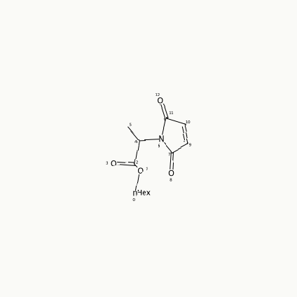 CCCCCCOC(=O)C(C)N1C(=O)C=CC1=O